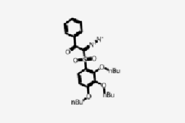 CCCCOc1ccc(S(=O)(=O)C(=[N+]=[N-])C(=O)c2ccccc2)c(OCCCC)c1OCCCC